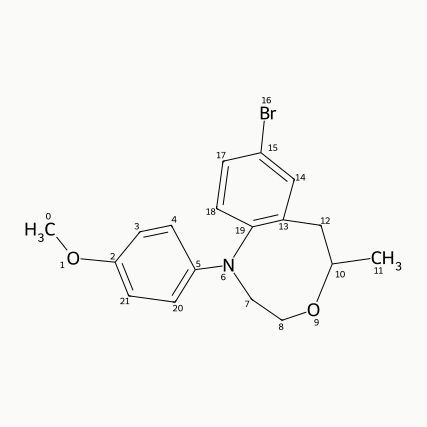 COc1ccc(N2CCOC(C)Cc3cc(Br)ccc32)cc1